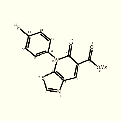 COC(=O)c1cc2ncsc2n(-c2ccc(F)cc2)c1=O